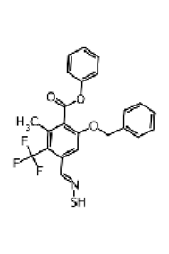 Cc1c(C(=O)Oc2ccccc2)c(OCc2ccccc2)cc(/C=N/S)c1C(F)(F)F